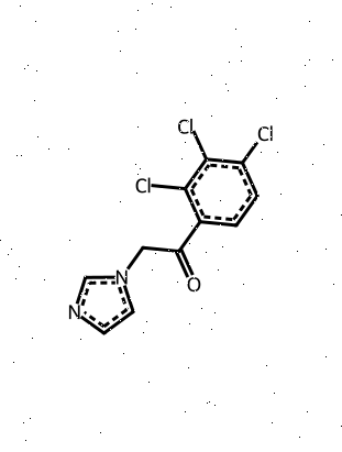 O=C(Cn1ccnc1)c1ccc(Cl)c(Cl)c1Cl